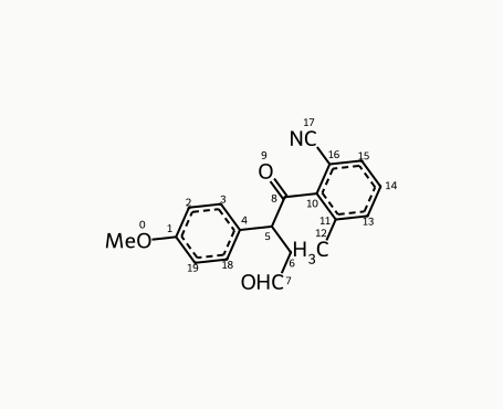 COc1ccc(C(CC=O)C(=O)c2c(C)cccc2C#N)cc1